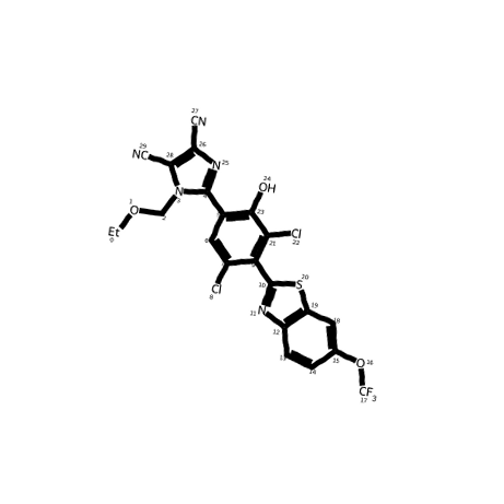 CCOCn1c(-c2cc(Cl)c(-c3nc4ccc(OC(F)(F)F)cc4s3)c(Cl)c2O)nc(C#N)c1C#N